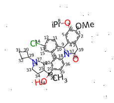 COc1cc2c(cc1OC(C)C)C(c1ccc(Cl)cc1)N(c1ccc([C@@](C)(O)C3CCN(C4CCC4)CC3)cc1)C(=O)C2